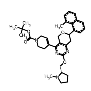 Cc1cccc2cccc(C3Cc4nc(OC[C@@H]5CCCN5C)nc(C5=CCN(C(=O)OC(C)(C)C)CC5)c4CO3)c12